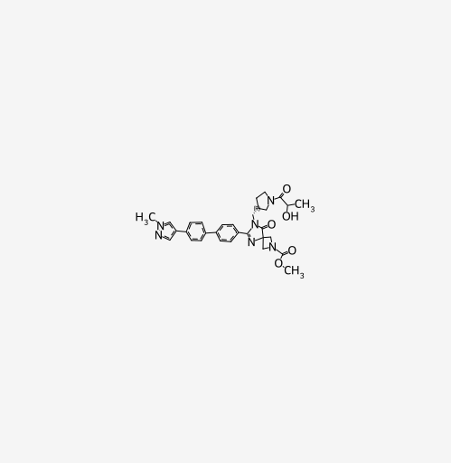 COC(=O)N1CC2(C1)N=C(c1ccc(-c3ccc(-c4cnn(C)c4)cc3)cc1)N(C[C@@H]1CCN(C(=O)C(C)O)C1)C2=O